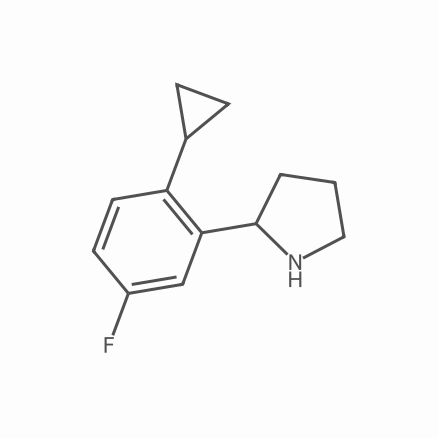 Fc1ccc(C2CC2)c(C2CCCN2)c1